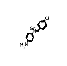 Nc1ccc([N+]([O-])=Cc2ccc(Cl)cc2)cc1